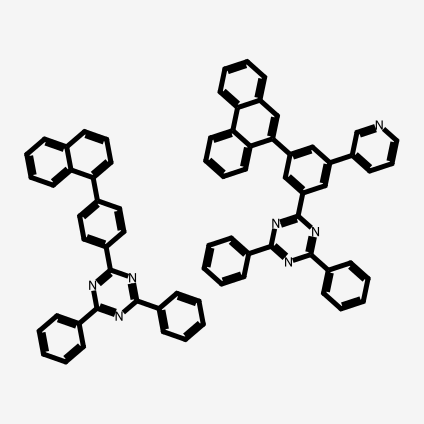 c1ccc(-c2nc(-c3ccccc3)nc(-c3cc(-c4cccnc4)cc(-c4cc5ccccc5c5ccccc45)c3)n2)cc1.c1ccc(-c2nc(-c3ccccc3)nc(-c3ccc(-c4cccc5ccccc45)cc3)n2)cc1